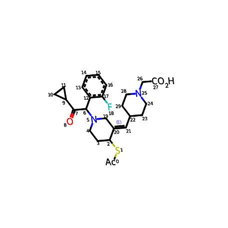 CC(=O)SC1CCN(C(C(=O)C2CC2)c2ccccc2F)C/C1=C\C1CCN(CC(=O)O)CC1